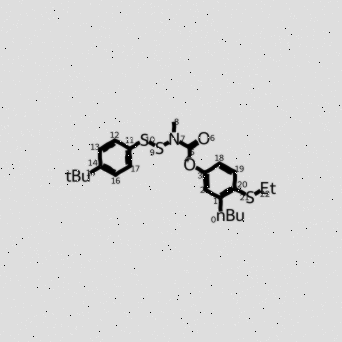 CCCCc1cc(OC(=O)N(C)SSc2ccc(C(C)(C)C)cc2)ccc1SCC